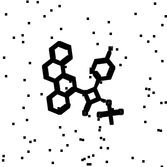 CS(=O)(=O)O[C@@H]1C(=O)N(c2cc3c4ccccc4ccc3c3ccccc23)[C@H]1c1ccc(F)cn1